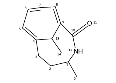 CC1CCC2=CC=CC=C(C(=O)N1)C2C